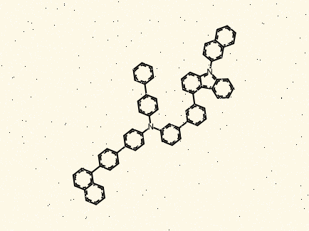 c1ccc(-c2ccc(N(c3ccc(-c4ccc(-c5cccc6ccccc56)cc4)cc3)c3cccc(-c4cccc(-c5cccc6c5c5ccccc5n6-c5ccc6ccccc6c5)c4)c3)cc2)cc1